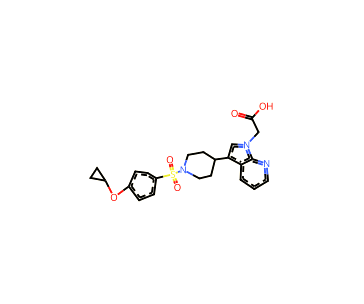 O=C(O)Cn1cc(C2CCN(S(=O)(=O)c3ccc(OC4CC4)cc3)CC2)c2cccnc21